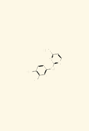 Nc1ccnc(Nc2ccc(O)c(Cl)c2)n1